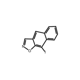 Ic1c2ccccc2cc2cnoc12